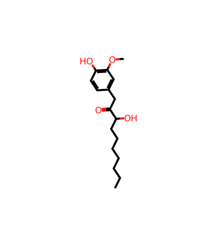 CCCCCCCC(O)C(=O)Cc1ccc(O)c(OC)c1